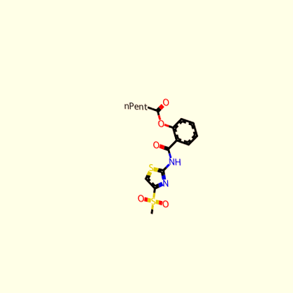 CCCCCC(=O)Oc1ccccc1C(=O)Nc1nc(S(C)(=O)=O)cs1